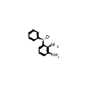 Nc1cccc([S+]([O-])c2ccccc2)c1N